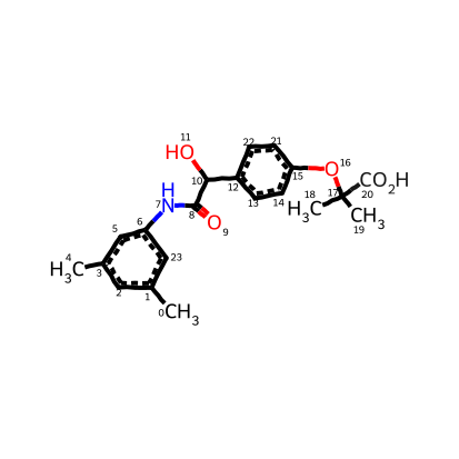 Cc1cc(C)cc(NC(=O)C(O)c2ccc(OC(C)(C)C(=O)O)cc2)c1